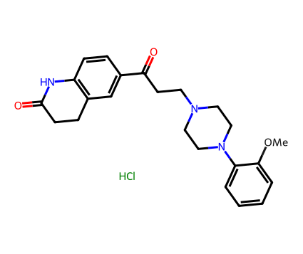 COc1ccccc1N1CCN(CCC(=O)c2ccc3c(c2)CCC(=O)N3)CC1.Cl